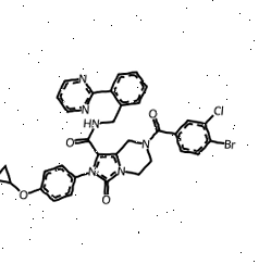 O=C(NCc1ccccc1-c1ncccn1)c1c2n(c(=O)n1-c1ccc(OC3CC3)cc1)CCN(C(=O)c1ccc(Br)c(Cl)c1)C2